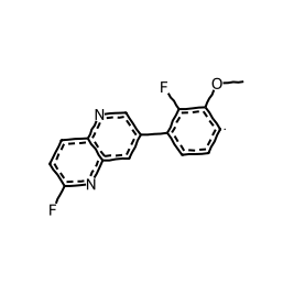 COc1[c]ccc(-c2cnc3ccc(F)nc3c2)c1F